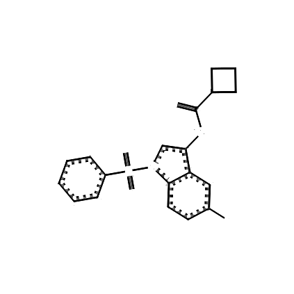 CC(=O)c1ccc2c(c1)c(NC(=O)C1CCC1)cn2S(=O)(=O)c1ccccc1